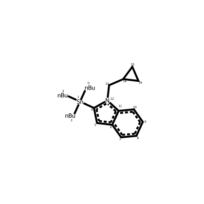 CCC[CH2][Sn]([CH2]CCC)([CH2]CCC)[c]1cc2ccccc2n1CC1CC1